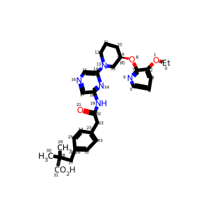 CCOc1cccnc1O[C@@H]1CCCN(c2cncc(NC(=O)Cc3ccc(CC(C)(C)C(=O)O)cc3)n2)C1